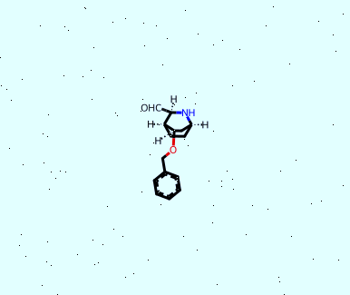 O=C[C@H]1N[C@H]2CC[C@@H]1[C@H](OCc1ccccc1)C2